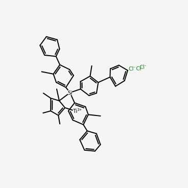 CC1=C(C)C(C)([Si](c2ccc(-c3ccccc3)c(C)c2)(c2ccc(-c3ccccc3)c(C)c2)c2ccc(-c3ccccc3)c(C)c2)[C]([Ti+3])=C1C.[Cl-].[Cl-].[Cl-]